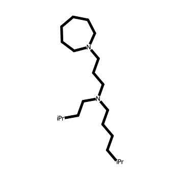 CC(C)CCCCN(CCCN1CCCCCC1)CCC(C)C